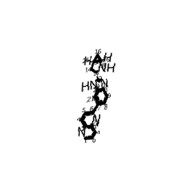 c1cnc2ccc(-c3ccc4nc([C@@H]5C[C@H]6C[C@H]6N5)[nH]c4c3)nc2c1